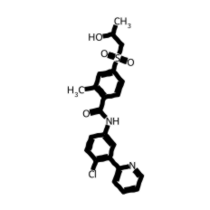 Cc1cc(S(=O)(=O)CC(C)O)ccc1C(=O)Nc1ccc(Cl)c(-c2ccccn2)c1